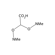 CNOC(ONC)C(=O)O